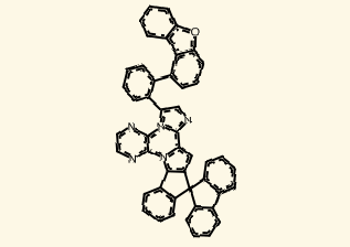 c1ccc(-c2cnc3c4cc5c(n4c4nccnc4n23)-c2ccccc2C52c3ccccc3-c3ccccc32)c(-c2cccc3oc4ccccc4c23)c1